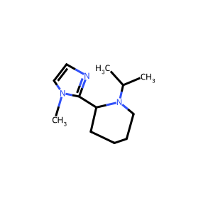 CC(C)N1CCCCC1c1nccn1C